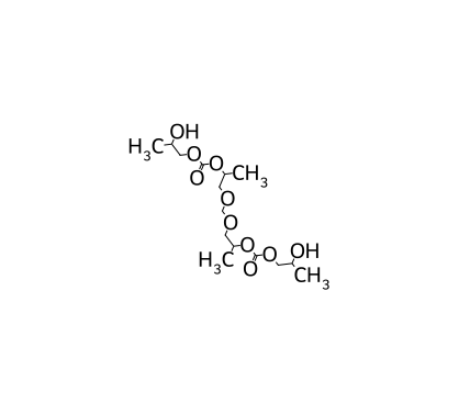 CC(O)COC(=O)OC(C)COCOCC(C)OC(=O)OCC(C)O